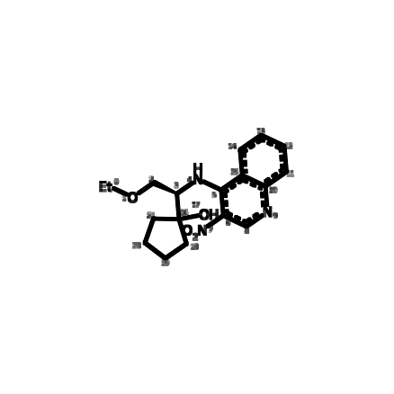 CCOC[C@@H](Nc1c([N+](=O)[O-])cnc2ccccc12)C1(O)CCCC1